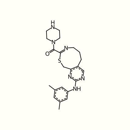 Cc1cc(C)cc(Nc2ncc3c(n2)CS/C(C(=O)N2CCNCC2)=N\CCC3)c1